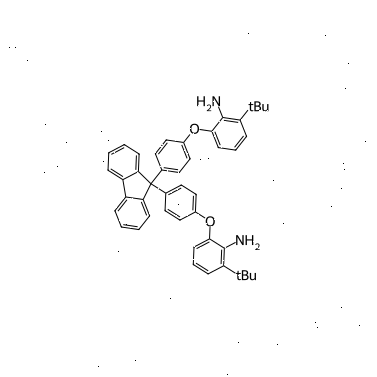 CC(C)(C)c1cccc(Oc2ccc(C3(c4ccc(Oc5cccc(C(C)(C)C)c5N)cc4)c4ccccc4-c4ccccc43)cc2)c1N